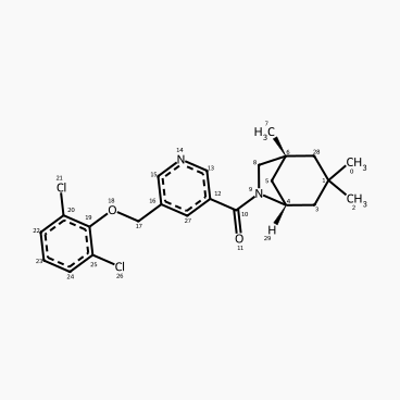 CC1(C)C[C@H]2C[C@](C)(CN2C(=O)c2cncc(COc3c(Cl)cccc3Cl)c2)C1